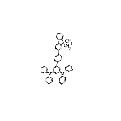 CC1(C)c2ccccc2-c2ccc(C3=CC=C(c4cc(N(c5ccccc5)c5ccccc5)cc(N(c5ccccc5)c5ccccc5)c4)CC3)cc21